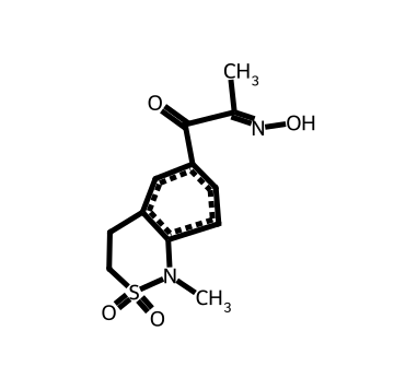 CC(=NO)C(=O)c1ccc2c(c1)CCS(=O)(=O)N2C